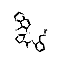 O=C(Oc1ccccc1CO[N+](=O)[O-])N1CCN=C1Nc1ccc2nccnc2c1Br